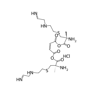 C[C@](N)(CSCCNCC=N)C(=O)OC(=O)/C=C\C(=O)OC(=O)[C@@](C)(N)CSCCNCC=N.Cl